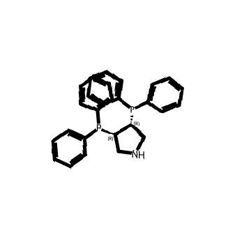 c1ccc(P(c2ccccc2)[C@@H]2CNC[C@H]2P(c2ccccc2)c2ccccc2)cc1